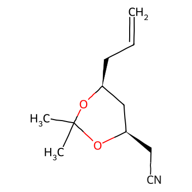 C=CC[C@H]1C[C@@H](CC#N)OC(C)(C)O1